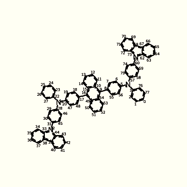 c1ccc(N(c2ccc(-c3c4ccccc4c(-c4ccc(N(c5ccccc5)c5ccc(-n6c7ccccc7c7ccccc76)cc5)cc4)c4ccccc34)cc2)c2ccc(-n3c4ccccc4c4ccccc43)cc2)cc1